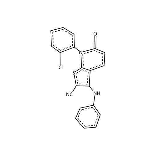 N#Cc1sc2c(ccc(=O)n2-c2ccccc2Cl)c1Nc1ccccc1